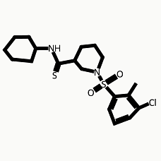 Cc1c(Cl)cccc1S(=O)(=O)N1CCCC(C(=S)NC2CCCCC2)C1